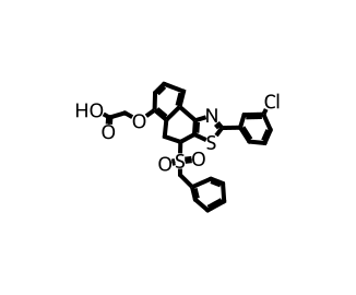 O=C(O)COc1cccc2c1CC(S(=O)(=O)Cc1ccccc1)c1sc(-c3cccc(Cl)c3)nc1-2